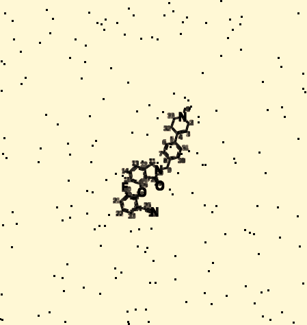 CN1CC=C(c2ccc(CN3Cc4cccc(Oc5c(F)cccc5C#N)c4C3=O)cc2)CC1